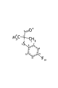 CC(C)(C=O)Sc1ccc(F)cc1